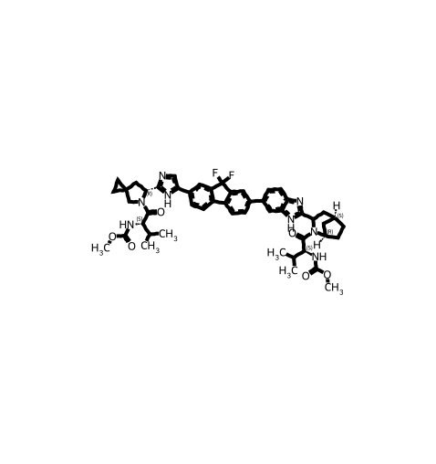 COC(=O)N[C@H](C(=O)N1CC2(CC2)C[C@@H]1c1ncc(-c2ccc3c(c2)C(F)(F)c2cc(-c4ccc5nc(C6C[C@H]7CC[C@H](C7)N6C(=O)[C@@H](NC(=O)OC)C(C)C)[nH]c5c4)ccc2-3)[nH]1)C(C)C